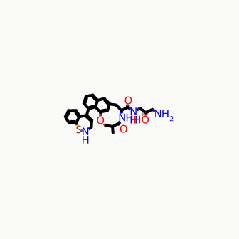 CC1COc2cc(cc3cccc(C4=CCNSc5ccccc54)c23)CC(C(=O)NC[C@H](O)CN)NC1=O